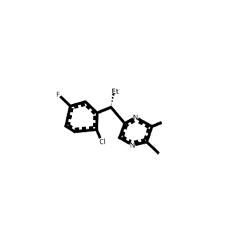 CC[C@H](c1cnc(C)c(C)n1)c1cc(F)ccc1Cl